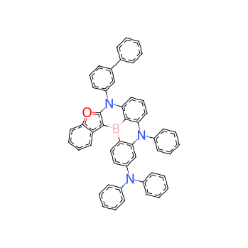 c1ccc(-c2cccc(N3c4cccc5c4B(c4ccc(N(c6ccccc6)c6ccccc6)cc4N5c4ccccc4)c4c3oc3ccccc43)c2)cc1